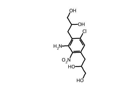 Nc1c(CC(O)CO)c(Cl)cc(CC(O)CO)c1[N+](=O)[O-]